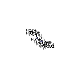 C/C(=C\C(C)C(O)C(C)/C=C/C(O)CC(O)C(C)C(C)(O)C(C)C(=O)O)CC(C)C(O)C(C)C(OC(N)=O)C(C)COCc1ccccc1